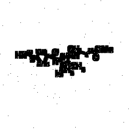 COC(=O)CCCNC(=O)C1SC(=NC(=O)c2ccc(SC=N)cc2)N(C)C1C.I